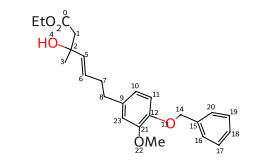 CCOC(=O)CC(C)(O)/C=C/CCc1ccc(OCc2ccccc2)c(OC)c1